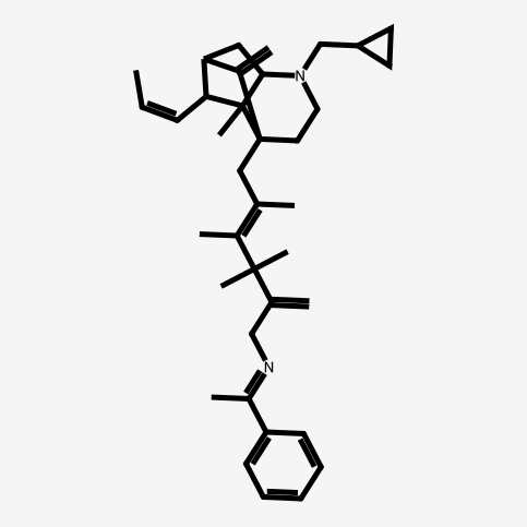 C=C(C/N=C(\C)c1ccccc1)C(C)(C)/C(C)=C(\C)CC12CCN(CC3CC3)C3CC(C1=C)C(/C=C\C)C32C